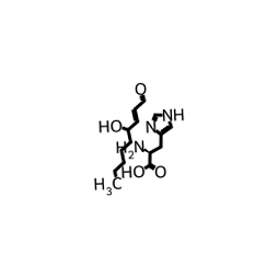 CCCCCC(O)C=CC=O.N[C@@H](Cc1c[nH]cn1)C(=O)O